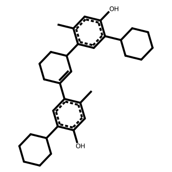 Cc1cc(O)c(C2CCCCC2)cc1C1=CC(c2cc(C3CCCCC3)c(O)cc2C)CCC1